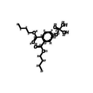 CCCCOC(=O)c1ccccc1C(=O)OCCCC.O=P(O)(O)O